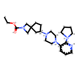 CCOC(=O)N1CC2(CC[C@@H](N3CCN(c4cccnc4N4CCCC4)CC3)C2)C1